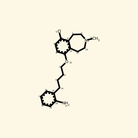 CN1CCc2c(Cl)ccc(OCCCCc3ccccc3N)c2CC1